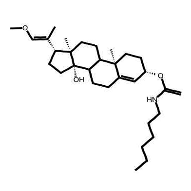 C=C(NCCCCCC)O[C@@H]1C=C2CCC3C(CC[C@]4(C)[C@@H](/C(C)=C/OC)CC[C@]34O)[C@@]2(C)CC1